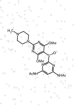 COc1nc(N2CCN(C)CC2)nc(OC)c1[S+]([O-])c1nc(NC(C)=O)cc(NC(C)=O)n1